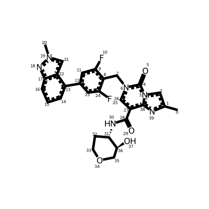 Cc1cn2c(=O)n(Cc3c(F)cc(-c4cccc5nn(C)cc45)cc3F)cc(C(=O)N[C@H]3CCOC[C@@H]3O)c2n1